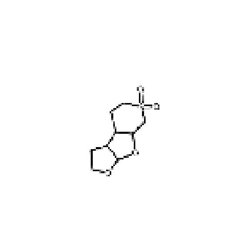 O=S1(=O)CCC2C(C1)OC1OCCC12